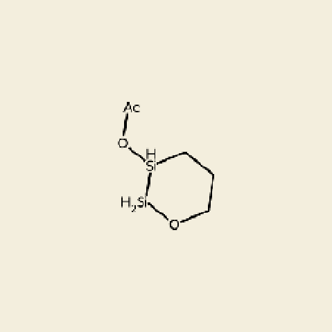 CC(=O)O[SiH]1CCCO[SiH2]1